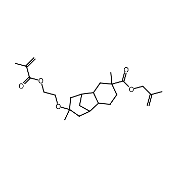 C=C(C)COC(=O)C1(C)CCC2C3CC(CC(C)(OCCOC(=O)C(=C)C)C3)C2C1